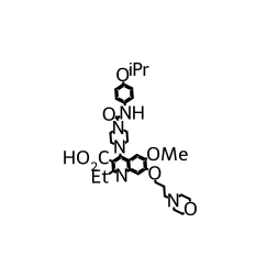 CCc1nc2cc(OCCCN3CCOCC3)c(OC)cc2c(N2CCN(C(=O)Nc3ccc(OC(C)C)cc3)CC2)c1C(=O)O